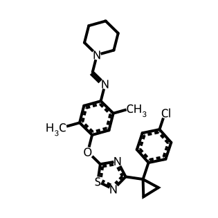 Cc1cc(Oc2nc(C3(c4ccc(Cl)cc4)CC3)ns2)c(C)cc1N=CN1CCCCC1